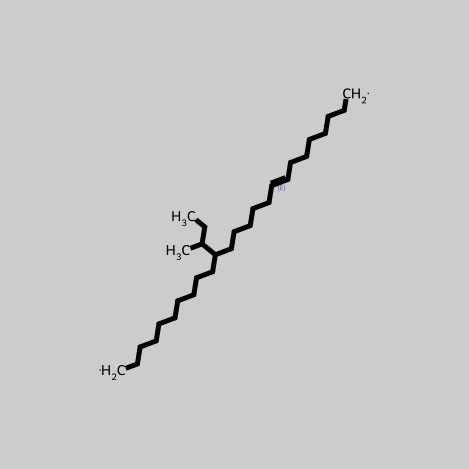 [CH2]CCCCCC/C=C/CCCCCC(CCCCCCCCC[CH2])C(C)CC